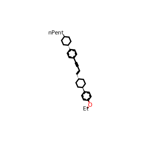 CCCCC[C@H]1CC[C@H](c2ccc(C#CC=C[C@H]3CC[C@H](c4ccc(OCC)cc4)CC3)cc2)CC1